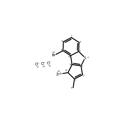 CC1=Cc2sc3cccc(Br)c3c2[CH]1[Zr+3].[Cl-].[Cl-].[Cl-]